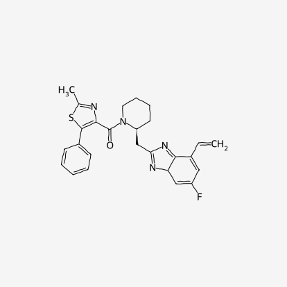 C=CC1=CC(F)=CC2N=C(C[C@@H]3CCCCN3C(=O)c3nc(C)sc3-c3ccccc3)N=C12